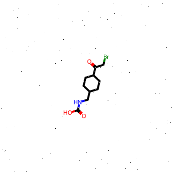 O=C(O)NCC1CCC(C(=O)CBr)CC1